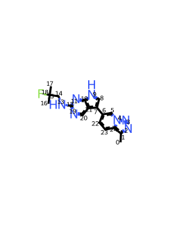 Cc1nnn2cc(-c3c[nH]c4nc(NCC(C)(C)F)ncc34)ccc12